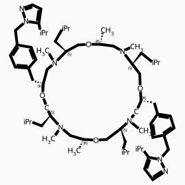 CC(C)C[C@H]1CO[C@H](C)CN(C)[C@@H](CC(C)C)CO[C@H](Cc2ccc(Cn3nccc3C(C)C)cc2)CN(C)[C@@H](CC(C)C)CO[C@H](C)CN(C)[C@@H](CC(C)C)CO[C@H](Cc2ccc(Cn3nccc3C(C)C)cc2)CN1C